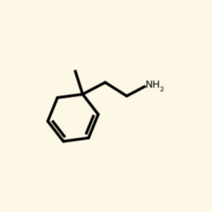 CC1(CCN)C=CC=CC1